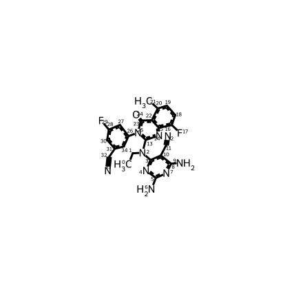 CCN(c1nc(N)nc(N)c1C#N)c1nc2c(F)ccc(C)c2c(=O)n1-c1cc(F)cc(C#N)c1